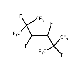 FC(C(I)C(F)(C(F)(F)F)C(F)(F)F)C(F)(C(F)(F)F)C(F)(F)F